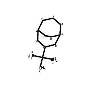 BC(B)(C)C1CC2CCCC(CC2)C1